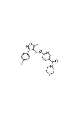 Cc1onc(-c2ccc(F)cc2)c1COc1ccc(C(=O)N2CCSCC2)cn1